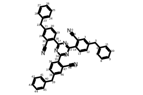 N#Cc1cc(Cc2ccccc2)ccc1-c1nc(-c2ccc(Cc3ccccc3)cc2C#N)nc(-c2ccc(Cc3ccccc3)cc2C#N)n1